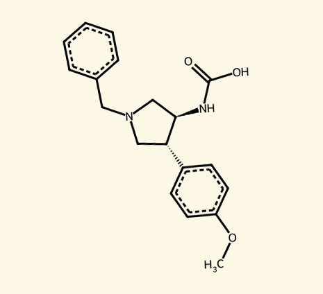 COc1ccc([C@@H]2CN(Cc3ccccc3)C[C@H]2NC(=O)O)cc1